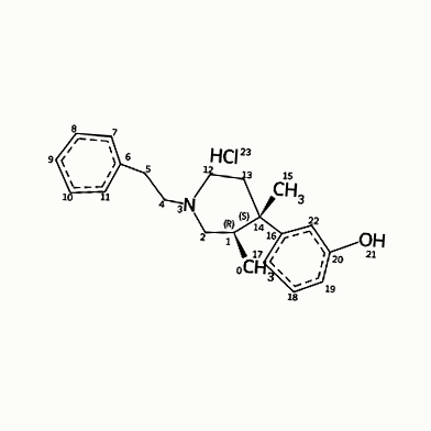 C[C@H]1CN(CCc2ccccc2)CC[C@]1(C)c1cccc(O)c1.Cl